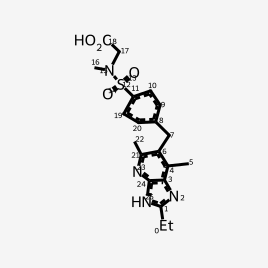 CCc1nc2c(C)c(Cc3ccc(S(=O)(=O)N(C)CC(=O)O)cc3)c(C)nc2[nH]1